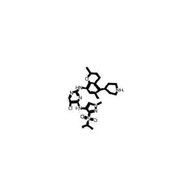 Cc1cc(Nc2ncc(Cl)c(Nc3cn(C)nc3S(=O)(=O)C(C)C)n2)c2c(c1C1CCNCC1)CCC(C)O2